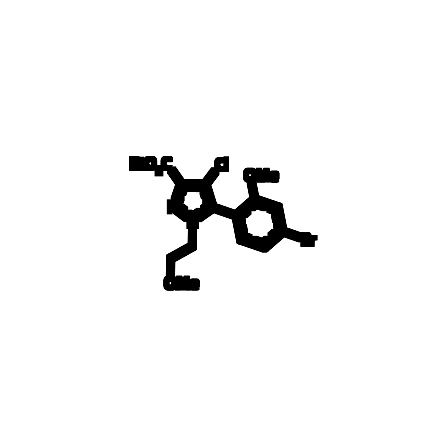 CCOC(=O)c1nn(CCOC)c(-c2ccc(Br)cc2OC)c1Cl